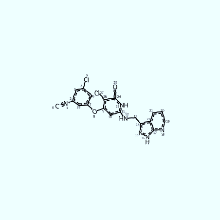 [C-]#[N+]c1cc(Cl)cc(Oc2cc(NCc3n[nH]c4ncccc34)[nH]c(=O)c2Cl)c1